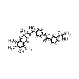 Cc1c(C)c2c(c(C)c1O)CCC(C)(CCSc1ccc(NC(=O)c3cccc(NC(=N)N)c3)cc1)O2.Cl